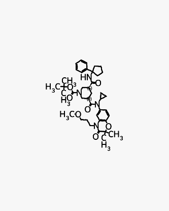 COCCCN1C(=O)C(C)(C)Oc2ccc(N(C(=O)[C@@H]3C[C@H](C(=O)NC4(c5ccccc5)CCCC4)CN(C(=O)OC(C)(C)C)C3)C3CC3)cc21